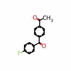 CC(=O)c1ccc(C(=O)c2ccc(F)cc2)cc1